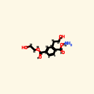 NOC(=O)c1ccc(C(=O)OCCO)cc1CCO